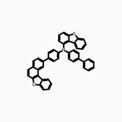 c1ccc(-c2ccc(N(c3ccc(-c4ccc5ccc6oc7ccccc7c6c5c4)cc3)c3cccc4sc5ccccc5c34)cc2)cc1